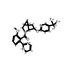 COc1cccc(-c2ncccn2)c1C(=O)N1CC2CC23CC(Oc2ccc(C(F)(F)F)cn2)C13